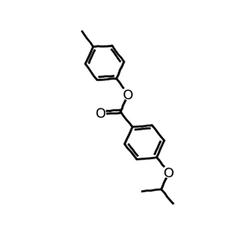 Cc1ccc(OC(=O)c2ccc(OC(C)C)cc2)cc1